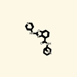 O=C(NC1CN2CCC1CC2)c1cccc2oc(Nc3ccncc3)nc12